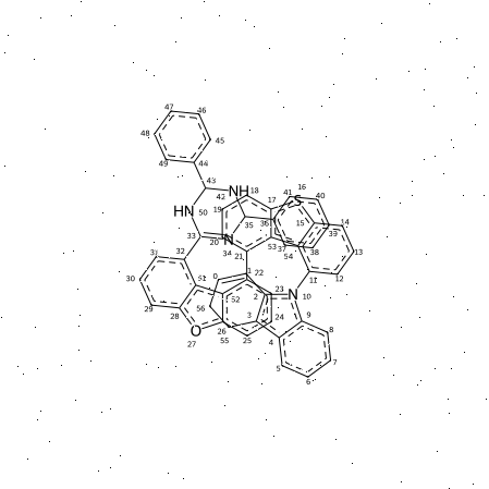 C1=Cc2c(c3ccccc3n2-c2cccc3sc4cccc(-c5cccc6oc7cccc(C8=NC(c9ccccc9)NC(c9ccccc9)N8)c7c56)c4c23)CC1